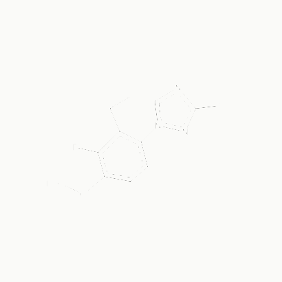 CCc1c(-n2cnc(C)n2)ccc(OC)c1F